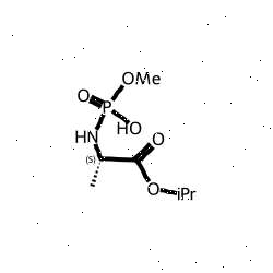 COP(=O)(O)N[C@@H](C)C(=O)OC(C)C